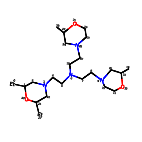 CCC1CN(CCN(CCN2CCOC(C)C2)CCN2CCOC(C)C2)CC(CC)O1